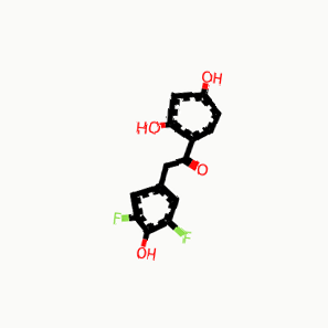 O=C(Cc1cc(F)c(O)c(F)c1)c1ccc(O)cc1O